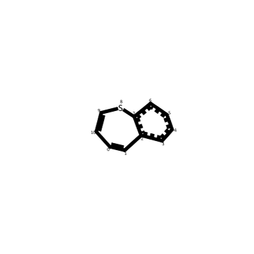 [C]1=Cc2ccccc2SC=C1